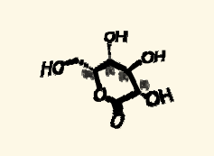 O=C1O[C@H](CO)[C@H](O)[C@@H](O)[C@@H]1O